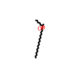 CCCCCCCCCCCCCCCCCC(=O)OC(C)CCCCC